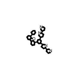 c1ccc(-c2cccc3c2oc2c(-c4cc(-c5ccc(-c6cccnc6)nc5)cc(-c5ccc(-c6cccnc6)nc5)c4)cccc23)cc1